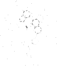 C[C@H]1[C@@H](NCCF)CCN1c1ncc2c3c(c(-c4ncc(F)c5sc(N)c(C#N)c45)c(F)c2n1)COC3